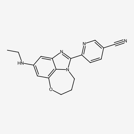 CCNc1cc2c3c(c1)nc(-c1ccc(C#N)cn1)n3CCCO2